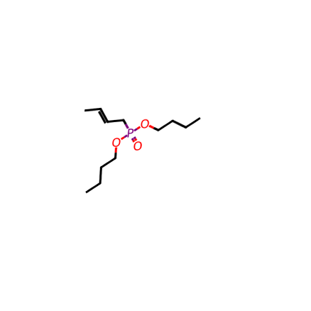 CC=CCP(=O)(OCCCC)OCCCC